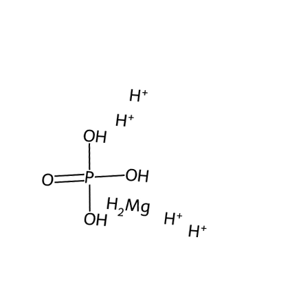 O=P(O)(O)O.[H+].[H+].[H+].[H+].[MgH2]